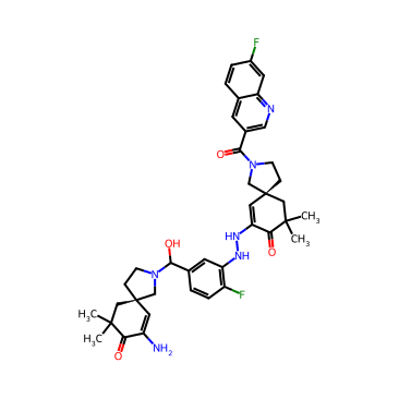 CC1(C)C[C@@]2(C=C(N)C1=O)CCN(C(O)c1ccc(F)c(NNC3=C[C@@]4(CCN(C(=O)c5cnc6cc(F)ccc6c5)C4)CC(C)(C)C3=O)c1)C2